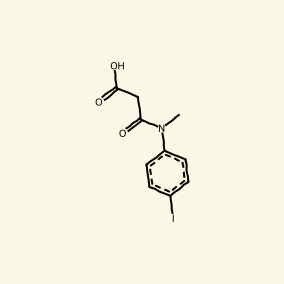 CN(C(=O)CC(=O)O)c1ccc(I)cc1